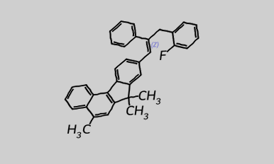 Cc1cc2c(c3ccccc13)-c1ccc(/C=C(/Cc3ccccc3F)c3ccccc3)cc1C2(C)C